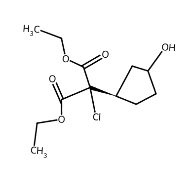 CCOC(=O)C(Cl)(C(=O)OCC)[C@@H]1CCC(O)C1